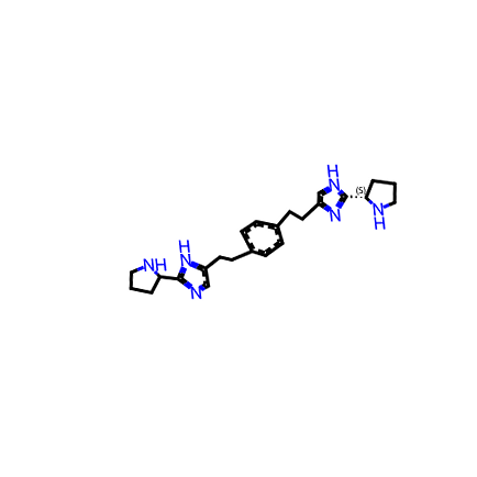 c1cc(CCc2cnc(C3CCCN3)[nH]2)ccc1CCc1c[nH]c([C@@H]2CCCN2)n1